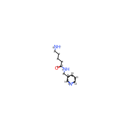 [NH]CCCCC(=O)NCc1cccnc1